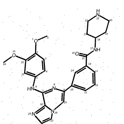 COc1ccc(Nc2nc(-c3cccc(C(=O)NC4CCNCC4)c3)cn3ccnc23)cc1OC